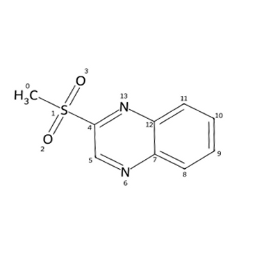 CS(=O)(=O)c1cnc2ccccc2n1